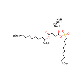 CCCCCCCCCCCCCCCCCCS(=O)(=O)OC(=O)CCC(=O)OC(CCCCCCCCCCCCCCCCC)S(=O)(=O)O.[NaH].[NaH].[NaH].[NaH]